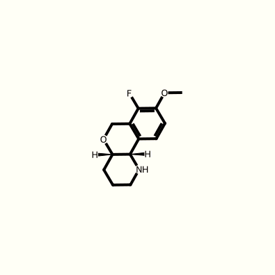 COc1ccc2c(c1F)CO[C@H]1CCCN[C@@H]21